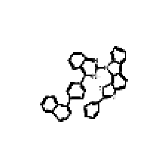 c1ccc(-c2nc3ccc4c5ccccc5n(C5N=c6ccccc6=C(c6ccc(-c7cccc8ccccc78)cc6)N5)c4c3o2)cc1